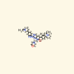 C=C(C)N1CCCCC1c1ccc(-c2cc3cnc(Nc4ccc(C5CCCN(C)C5)cc4)nc3n(CCN3CCOCC3)c2=O)cc1